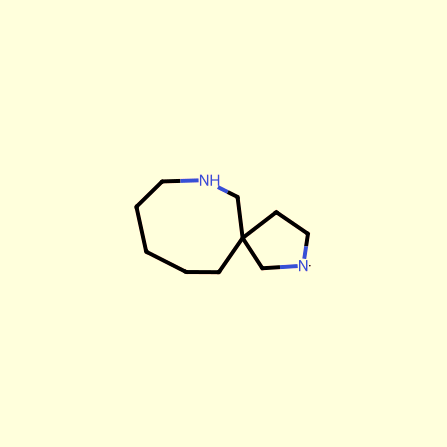 C1CCNCC2(CC1)CC[N]C2